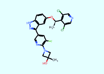 C[C@@H](Oc1ccc2[nH]nc(-c3cnc(N4CC(C)(O)C4)c(F)c3)c2c1)c1c(Cl)cncc1Cl